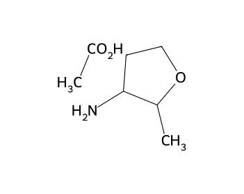 CC(=O)O.CC1OCCC1N